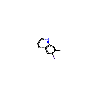 Cc1cc2ncccc2cc1I